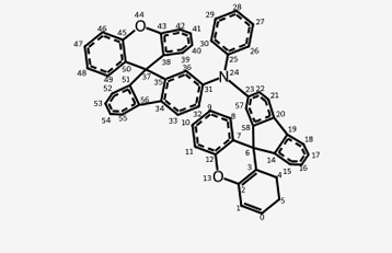 C1=CC2=C(CC1)C1(c3ccccc3O2)c2ccccc2-c2ccc(N(c3ccccc3)c3ccc4c(c3)C3(c5ccccc5Oc5ccccc53)c3ccccc3-4)cc21